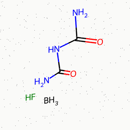 B.F.NC(=O)NC(N)=O